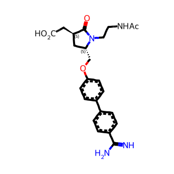 CC(=O)NCCN1C(=O)[C@H](CC(=O)O)C[C@H]1COc1ccc(-c2ccc(C(=N)N)cc2)cc1